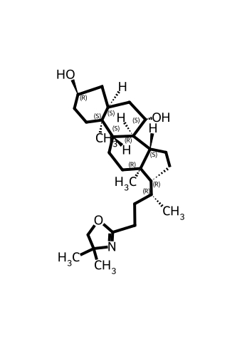 C[C@H](CCC1=NC(C)(C)CO1)[C@H]1CC[C@H]2[C@@H]3[C@@H](O)C[C@@H]4C[C@H](O)CC[C@]4(C)[C@H]3CC[C@]12C